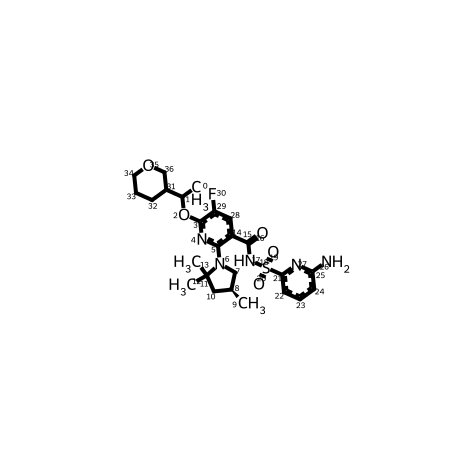 CC(Oc1nc(N2C[C@@H](C)CC2(C)C)c(C(=O)NS(=O)(=O)c2cccc(N)n2)cc1F)C1CCCOC1